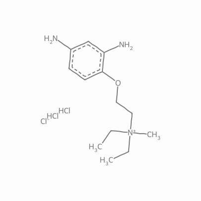 CC[N+](C)(CC)CCOc1ccc(N)cc1N.Cl.Cl.[Cl-]